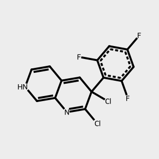 Fc1cc(F)c(C2(Cl)C=C3C=CNC=C3N=C2Cl)c(F)c1